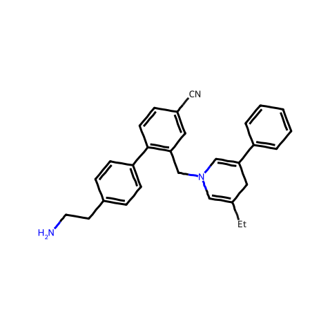 CCC1=CN(Cc2cc(C#N)ccc2-c2ccc(CCN)cc2)C=C(c2ccccc2)C1